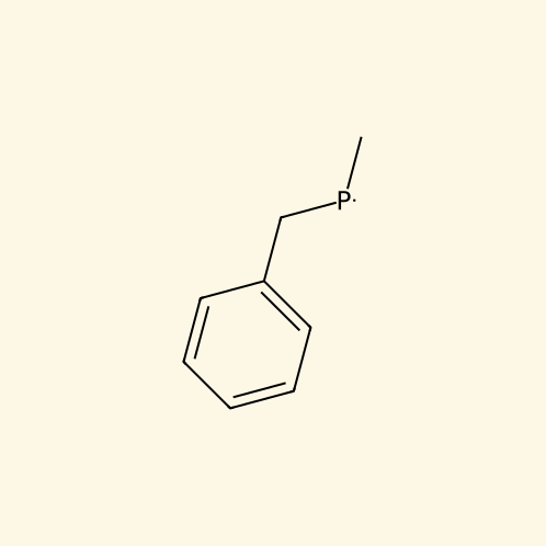 C[P]Cc1ccccc1